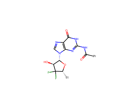 CC[C@H]1O[C@@H](n2cnc3c(=O)[nH]c(NC(=O)C(C)C)nc32)[C@H](O)C1(F)F